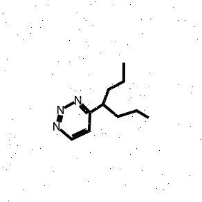 CCCC(CCC)c1ccnnn1